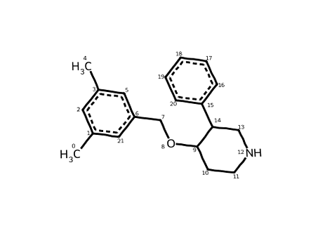 Cc1cc(C)cc(COC2CCNCC2c2ccccc2)c1